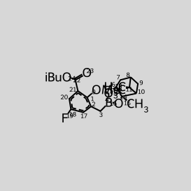 COc1c(CB2OC3CC4CC(C4(C)C)[C@]3(C)O2)cc(F)cc1C(=O)OCC(C)C